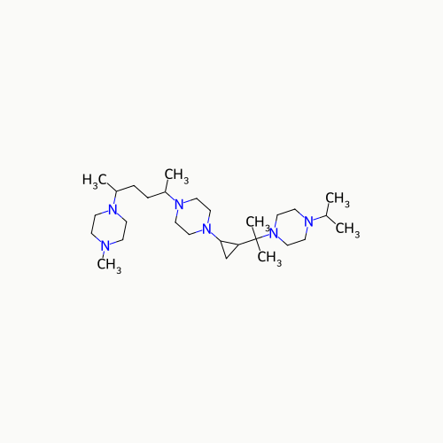 CC(C)N1CCN(C(C)(C)C2CC2N2CCN(C(C)CCC(C)N3CCN(C)CC3)CC2)CC1